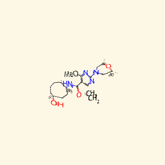 COc1nc(N2C[C@@H](C)O[C@@H](C)C2)ncc1C(=O)N[C@@H]1[CH]CCC[C@H](O)CC1.[CH2].[CH2]